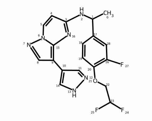 CC(Nc1ccn2ncc(-c3cn[nH]c3)c2n1)c1ccc(OCC(F)F)c(F)c1